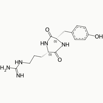 N=C(N)NCCC[C@@H]1NC(=O)[C@H](Cc2ccc(O)cc2)NC1=O